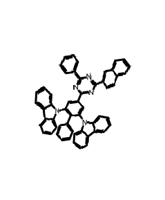 c1ccc(-c2nc(-c3cc(-n4c5ccccc5c5ccccc54)c(-c4ccccc4)c(-n4c5ccccc5c5ccccc54)c3)nc(-c3ccc4ccccc4c3)n2)cc1